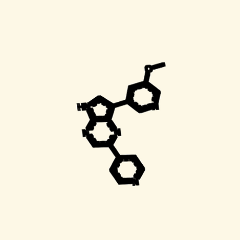 COc1cncc(-c2c[nH]c3ncc(-c4ccncc4)nc23)c1